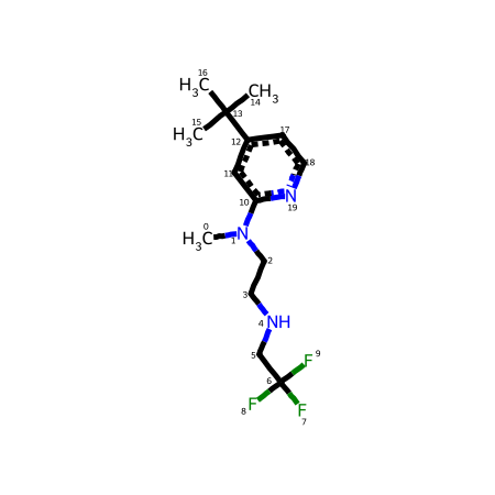 CN(CCNCC(F)(F)F)c1cc(C(C)(C)C)ccn1